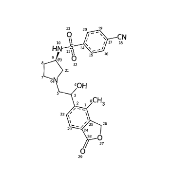 Cc1c(C(O)CN2CC[C@@H](NS(=O)(=O)c3ccc(C#N)cc3)C2)ccc2c1COC2=O